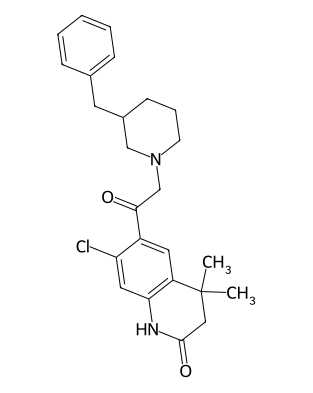 CC1(C)CC(=O)Nc2cc(Cl)c(C(=O)CN3CCCC(Cc4ccccc4)C3)cc21